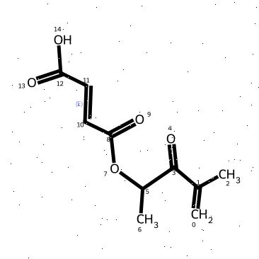 C=C(C)C(=O)C(C)OC(=O)/C=C/C(=O)O